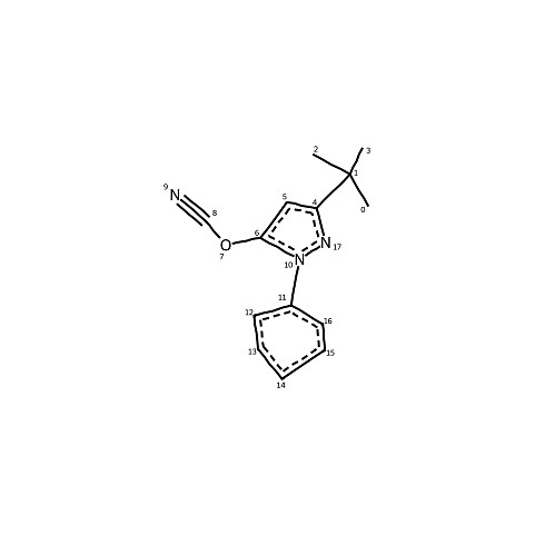 CC(C)(C)c1cc(OC#N)n(-c2ccccc2)n1